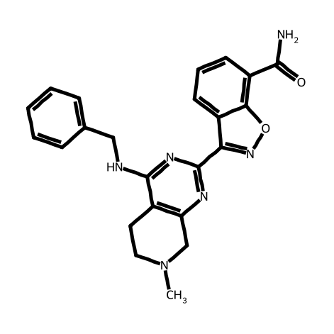 CN1CCc2c(nc(-c3noc4c(C(N)=O)cccc34)nc2NCc2ccccc2)C1